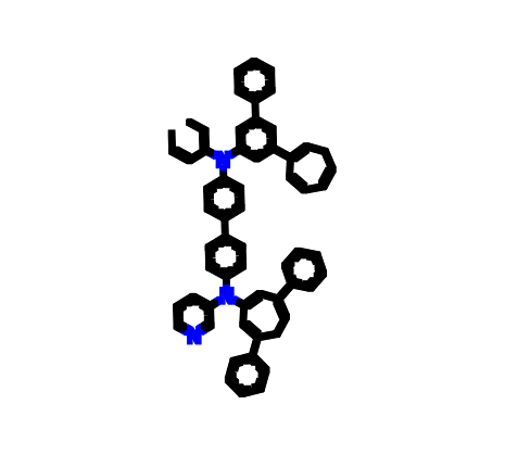 C/C=C\C(=C/C)N(c1ccc(-c2ccc(N(C3=CC(c4ccccc4)=CCC(c4ccccc4)=C3)c3cccnc3)cc2)cc1)c1cc(C2=CCC=CC=C2)cc(-c2ccccc2)c1